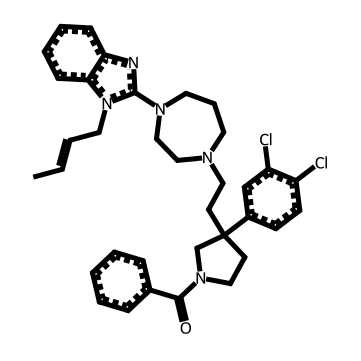 C/C=C/Cn1c(N2CCCN(CCC3(c4ccc(Cl)c(Cl)c4)CCN(C(=O)c4ccccc4)C3)CC2)nc2ccccc21